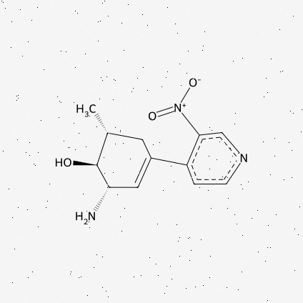 C[C@@H]1CC(c2ccncc2[N+](=O)[O-])=C[C@H](N)[C@H]1O